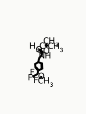 COC(C1=CCC(CNC(=O)OC(C)(C)C)C=C1)C(F)(F)F